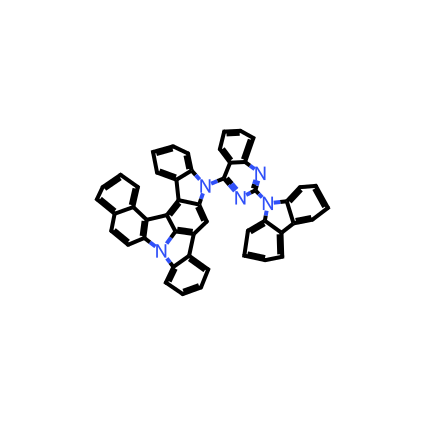 c1ccc2c(c1)ccc1c2c2c3c4ccccc4n(-c4nc(-n5c6ccccc6c6ccccc65)nc5ccccc45)c3cc3c4ccccc4n1c32